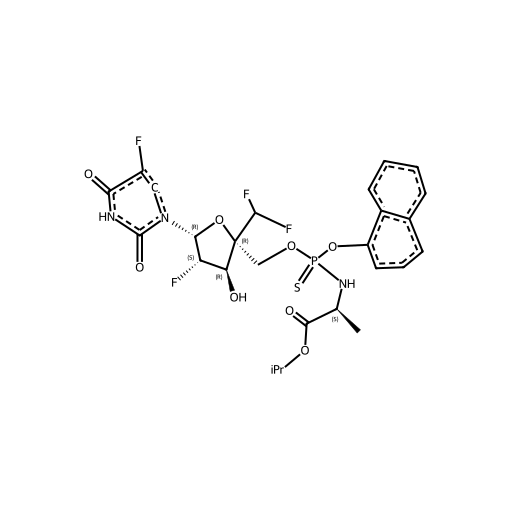 CC(C)OC(=O)[C@H](C)NP(=S)(OC[C@@]1(C(F)F)O[C@@H](n2cc(F)c(=O)[nH]c2=O)[C@@H](F)[C@@H]1O)Oc1cccc2ccccc12